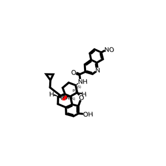 O=Nc1ccc2cc(C(=O)N[C@H]3CC[C@@]4(O)[C@H]5Cc6ccc(O)c7c6[C@@]4(CCN5CC4CC4)[C@H]3O7)cnc2c1